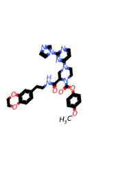 COc1ccc(OC(=O)N2CCN(c3ccnc(-n4ccnc4)n3)CC2C(=O)NCCc2ccc3c(c2)OCCO3)cc1